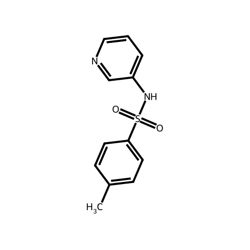 Cc1ccc(S(=O)(=O)Nc2cccnc2)cc1